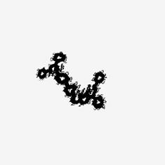 c1ccc(-c2cc(-c3ccccc3)nc(-c3ccc(-c4ccc(-c5ccc6ccc7c(-c8ccccc8)cc(-c8ccccc8)nc7c6n5)cc4)cc3)n2)cc1